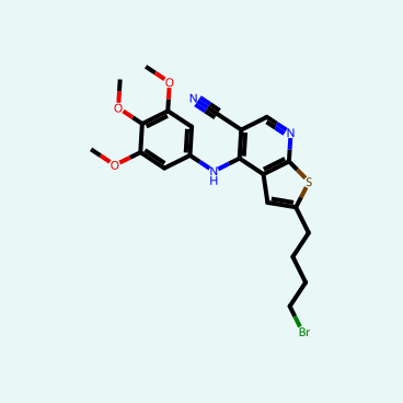 COc1cc(Nc2c(C#N)cnc3sc(CCCCBr)cc23)cc(OC)c1OC